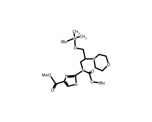 COC(=O)c1csc(N(CC(CO[Si](C)(C)C(C)(C)C)N2CCOCC2)C(=O)OC(C)(C)C)n1